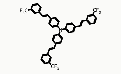 FC(F)(F)c1cccc(/C=C/c2ccc(N(c3ccc(/C=C/c4cccc(C(F)(F)F)c4)cc3)c3ccc(/C=C/c4cccc(C(F)(F)F)c4)cc3)cc2)c1